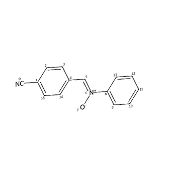 N#Cc1ccc(C=[N+]([O-])c2ccccc2)cc1